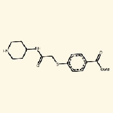 COC(=O)c1ccc(SCC(=O)NC2CCNCC2)cc1